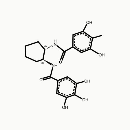 Cc1c(O)cc(C(=O)N[C@H]2CCCC[C@@H]2NC(=O)c2cc(O)c(O)c(O)c2)cc1O